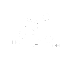 CC(=O)SCC(C(=O)N[C@@H](Cc1ccc(O)cc1)C(=O)OCc1ccccc1)C(C)c1ccc(O)cc1